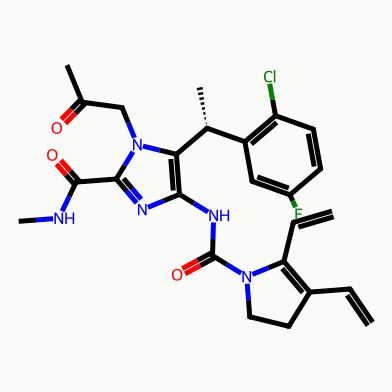 C=CC1=C(C=C)N(C(=O)Nc2nc(C(=O)NC)n(CC(C)=O)c2[C@H](C)c2cc(F)ccc2Cl)CC1